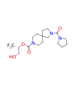 O=C(O[C@H](CO)C(F)(F)F)N1CCC2(CC1)CCN(C(=O)N1CCCC1)C2